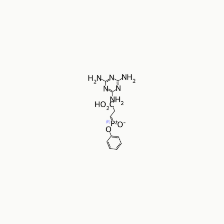 Nc1nc(N)nc(N)n1.O=C(O)C/C=[P+](\[O-])Oc1ccccc1